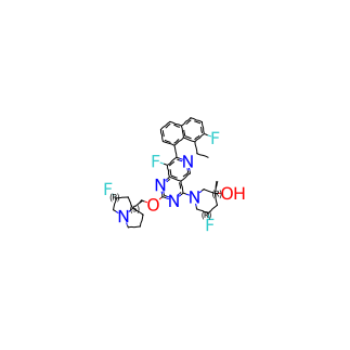 CCc1c(F)ccc2cccc(-c3ncc4c(N5C[C@H](F)C[C@@](C)(O)C5)nc(OC[C@@]56CCCN5C[C@H](F)C6)nc4c3F)c12